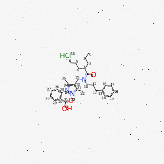 CCCC(CCC)C(=O)N(CCCc1ccccc1)Cc1c(C)nn(-c2ccccc2C(=O)O)c1C.Cl